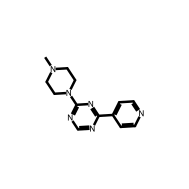 CN1CCN(c2ncnc(-c3ccncc3)n2)CC1